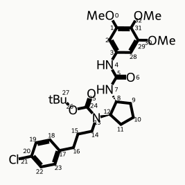 COc1cc(NC(=O)N[C@@H]2CCC[C@H]2N(CCCc2ccc(Cl)cc2)C(=O)OC(C)(C)C)cc(OC)c1OC